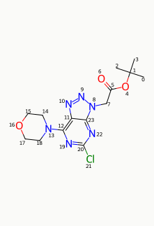 CC(C)(C)OC(=O)Cn1nnc2c(N3CCOCC3)nc(Cl)nc21